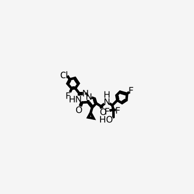 O=C(NC(c1ccc(F)cc1)C(F)(F)CO)c1cn2nc(-c3ccc(Cl)cc3F)[nH]c(=O)c2c1C1CC1